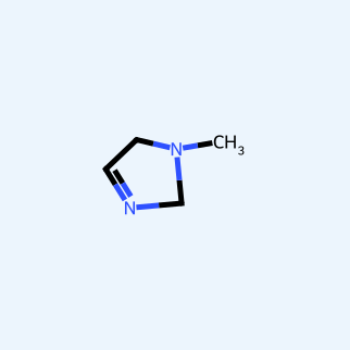 CN1CC=NC1